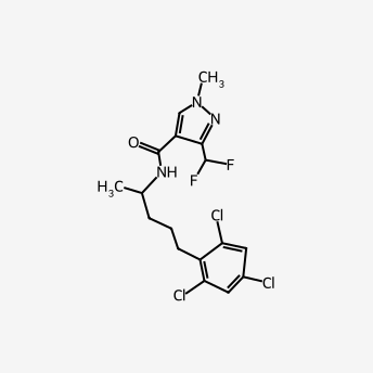 CC(CCCc1c(Cl)cc(Cl)cc1Cl)NC(=O)c1cn(C)nc1C(F)F